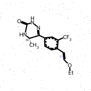 CCO/C=C/c1ccc(C2=NNC(=O)N[C@H]2C)cc1C(F)(F)F